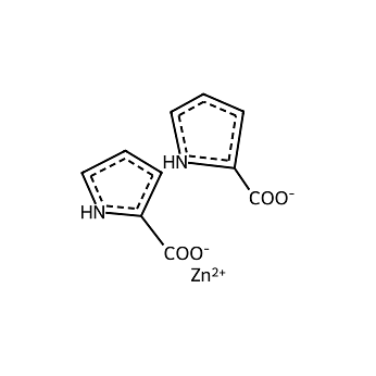 O=C([O-])c1ccc[nH]1.O=C([O-])c1ccc[nH]1.[Zn+2]